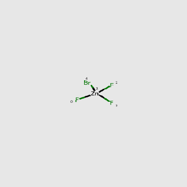 [F][Zn]([F])([F])[Br]